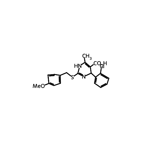 COc1ccc(CSC2=NC(c3ccccc3Cl)C(C(=O)O)=C(C)N2)cc1